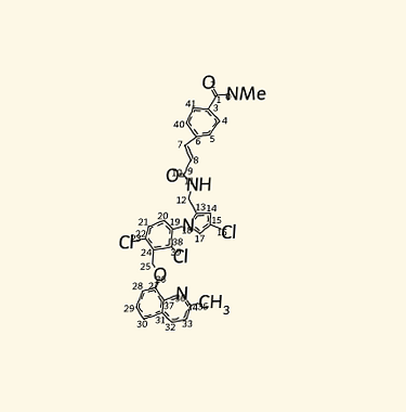 CNC(=O)c1ccc(/C=C/C(=O)NCc2cc(Cl)cn2-c2ccc(Cl)c(COc3cccc4ccc(C)nc34)c2Cl)cc1